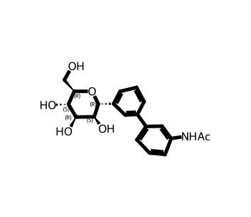 CC(=O)Nc1cccc(-c2cccc([C@H]3O[C@H](CO)[C@@H](O)[C@H](O)[C@@H]3O)c2)c1